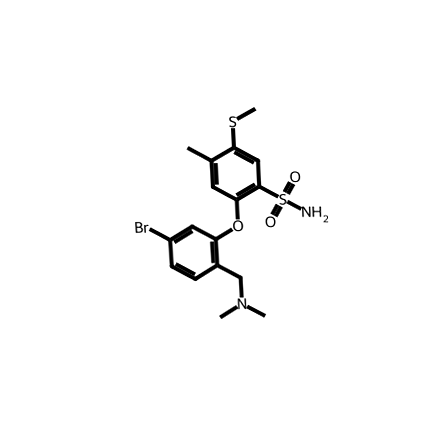 CSc1cc(S(N)(=O)=O)c(Oc2cc(Br)ccc2CN(C)C)cc1C